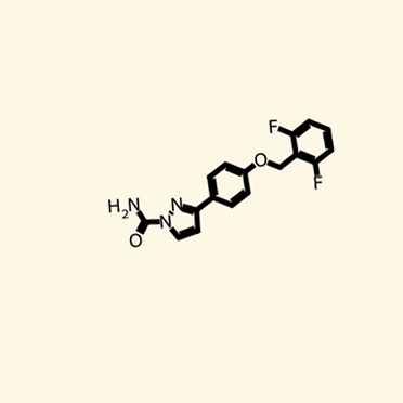 NC(=O)n1ccc(-c2ccc(OCc3c(F)cccc3F)cc2)n1